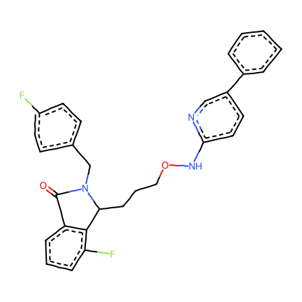 O=C1c2cccc(F)c2C(CCCONc2ccc(-c3ccccc3)cn2)N1Cc1ccc(F)cc1